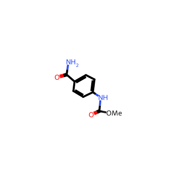 COC(=O)Nc1ccc(C(N)=O)cc1